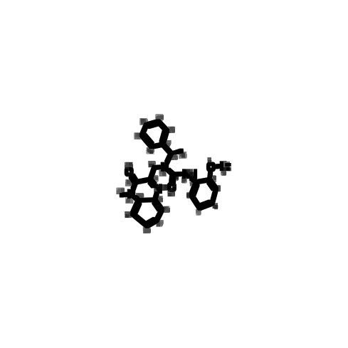 CCOc1ccccc1NC(=O)N(Cc1nc2ccccc2n(C)c1=O)[C@H](C)c1ccccc1